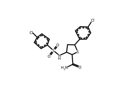 NC(=O)C1SC(c2ccc(Cl)cc2)CC1NS(=O)(=O)c1ccc(Cl)cc1